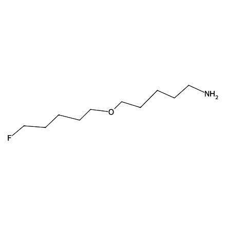 NCCCCCOCCCCCF